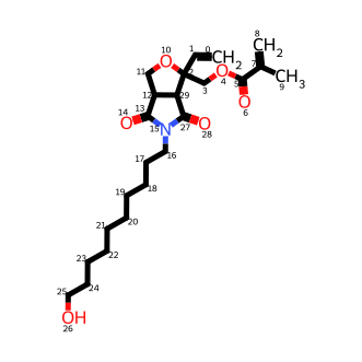 C=CC1(COC(=O)C(=C)C)OCC2C(=O)N(CCCCCCCCCCO)C(=O)C21